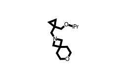 CC(C)OCC1(CN2CC3(CCOCC3)C2)CC1